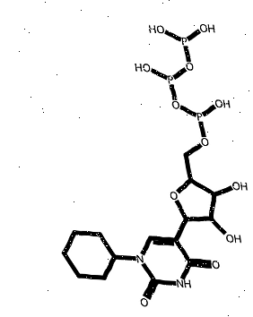 O=c1[nH]c(=O)n(C2CCCCC2)cc1C1OC(COP(O)OP(O)OP(O)O)C(O)C1O